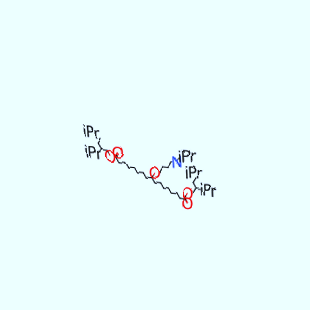 CC(C)CCC(COC(=O)CCCCCCCC(CCCCCCCC(=O)OCC(CCC(C)C)C(C)C)OCCCCN(C)C(C)C)C(C)C